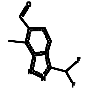 Cc1c(C=O)ccn2c(C(F)F)nnc12